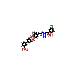 O=C([O-])c1cccc(-c2ccc(S(=O)(=O)c3ccc(CCCNC[C@H](O)c4cccc(Cl)c4)cc3)cc2)c1.[Na+]